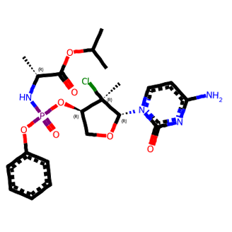 CC(C)OC(=O)[C@@H](C)NP(=O)(Oc1ccccc1)O[C@@H]1CO[C@@H](n2ccc(N)nc2=O)[C@]1(C)Cl